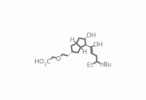 CCCCC(CC)CC=C(O)[C@H]1[C@@H]2C[C@H](CCOCC(=O)O)C[C@@H]2C[C@@H]1O